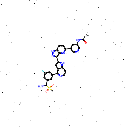 CC(C)(C)C(=O)Nc1cncc(-c2ccc3[nH]nc(-c4cc5c(-c6cc(F)cc(C(N)S(C)(=O)=O)c6)nccc5[nH]4)c3n2)c1